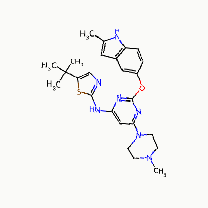 Cc1cc2cc(Oc3nc(Nc4ncc(C(C)(C)C)s4)cc(N4CCN(C)CC4)n3)ccc2[nH]1